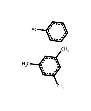 CC(=O)c1ccccc1.Cc1cc(C)cc(C)c1